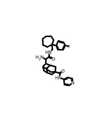 NC(C(=O)NCC1(c2ccc(F)cc2)CCCCCC1)C1C2CC3CC1CC(C(=O)Nc1ccncc1)(C3)C2